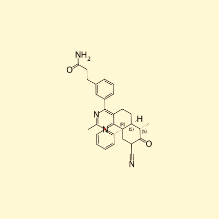 Cc1nc(-c2cccc(CCC(N)=O)c2)c2c(n1)[C@]1(c3ccccc3)CC(C#N)C(=O)[C@@H](C)[C@@H]1CC2